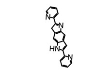 c1ccc(C2=Nc3cc4cc(-c5ccccn5)[nH]c4cc3C2)nc1